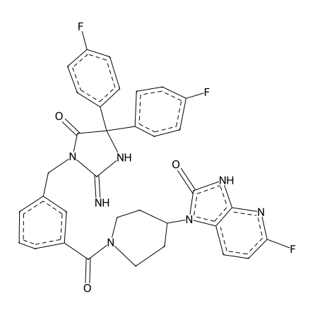 N=C1NC(c2ccc(F)cc2)(c2ccc(F)cc2)C(=O)N1Cc1cccc(C(=O)N2CCC(n3c(=O)[nH]c4nc(F)ccc43)CC2)c1